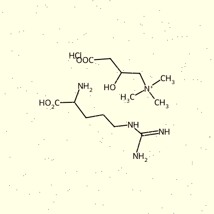 C[N+](C)(C)CC(O)CC(=O)[O-].Cl.N=C(N)NCCCC(N)C(=O)O